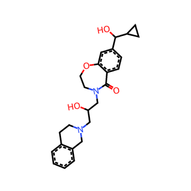 O=C1c2ccc(C(O)C3CC3)cc2OCCN1CC(O)CN1CCc2ccccc2C1